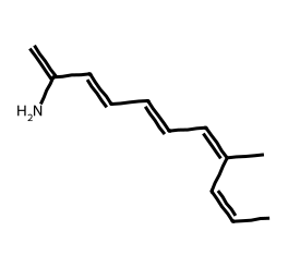 C=C(N)/C=C/C=C/C=C(C)\C=C/C